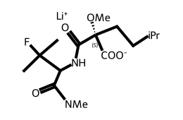 CNC(=O)C(NC(=O)[C@](CCC(C)C)(OC)C(=O)[O-])C(C)(C)F.[Li+]